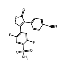 N#Cc1ccc(C2=C(c3cc(F)c(S(N)(=O)=O)cc3F)COC2=O)cc1